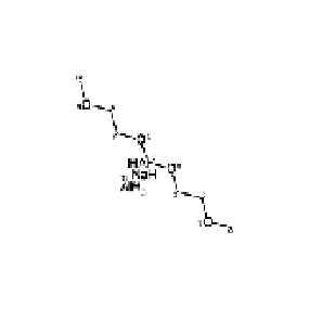 COCC[O][AlH][O]CCOC.[AlH3].[NaH]